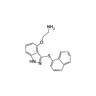 NCCOc1cccc2[nH]nc(Sc3cccc4ccccc34)c12